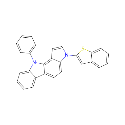 c1ccc(-n2c3ccccc3c3ccc4c(ccn4-c4cc5ccccc5s4)c32)cc1